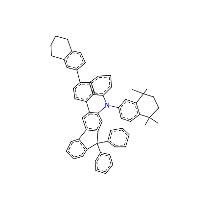 CC1(C)CCC(C)(C)c2cc(N(c3ccccc3)c3cc4c(cc3-c3ccc(-c5ccc6c(c5)CCCC6)cc3)-c3ccccc3C4(c3ccccc3)c3ccccc3)ccc21